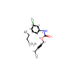 CC(=O)CCC(=O)O.O=C(Nc1cccc(Cl)c1)OCC#CCCl